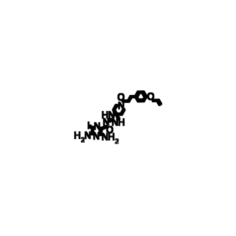 C=CCOc1ccc(CCC(=O)N2CCC3(CC2)CN/C(=N\C(=O)c2nc(I)c(N)nc2N)N3)cc1